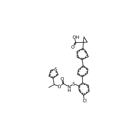 CC(OC(=O)NSc1cc(Cl)ccc1-c1ccc(-c2ccc(C3(C(=O)O)CC3)cc2)cc1)c1ccsc1